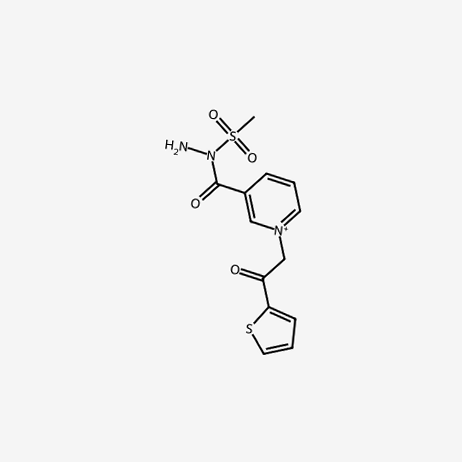 CS(=O)(=O)N(N)C(=O)c1ccc[n+](CC(=O)c2cccs2)c1